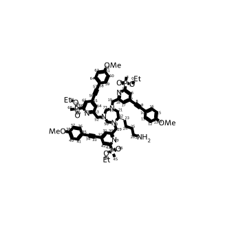 CCOP(C)(=O)c1cc(C#Cc2ccc(OC)cc2)cc(CN2C[C@H](CCCCN)N(Cc3cc(C#Cc4ccc(OC)cc4)cc(P(C)(=O)OCC)n3)CN(Cc3cc(C#Cc4ccc(OC)cc4)cc(P(C)(=O)OCC)n3)C2)n1